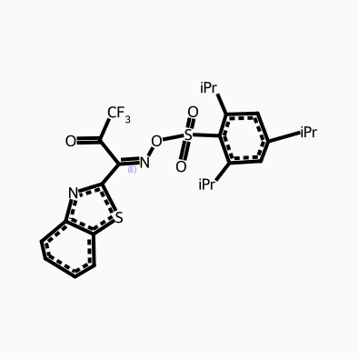 CC(C)c1cc(C(C)C)c(S(=O)(=O)O/N=C(\C(=O)C(F)(F)F)c2nc3ccccc3s2)c(C(C)C)c1